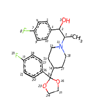 CC(C(O)c1ccc(F)cc1)N1CCC(C2(c3ccc(F)cc3)OCCO2)CC1